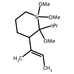 CC=C(C)C1CCC[Si](OC)(OC)C1(CCC)OC